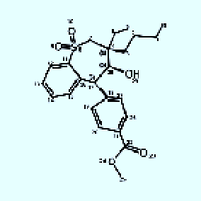 CCCC[C@]1(CC)CS(=O)(=O)c2ccccc2[C@H](c2ccc(C(=O)OC)cc2)[C@@H]1O